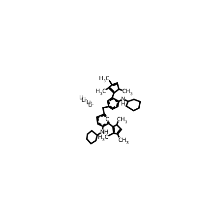 CC1=CC(C)C(c2cc(Cc3ccc(NC4CCCCC4)c(C4=C(C)C(C)=CC4C)c3)ccc2NC2CCCCC2)=C1C.[Li].[Li].[Li].[Li]